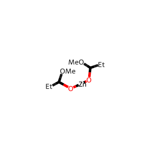 CCC(OC)[O][Zn][O]C(CC)OC